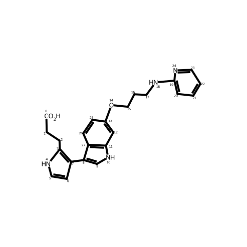 O=C(O)CCc1[nH]ccc1-c1c[nH]c2cc(OCCCNc3ccccn3)ccc12